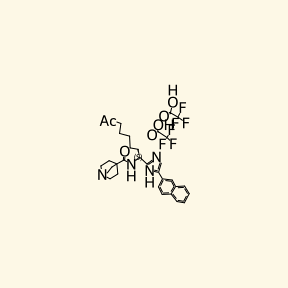 CC(=O)CCCCC[C@H](NC(=O)C12CCN(CC1)CC2)c1ncc(-c2ccc3ccccc3c2)[nH]1.O=C(O)C(F)(F)F.O=C(O)C(F)(F)F